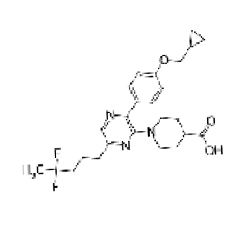 CC(F)(F)CCCc1cnc(-c2ccc(OCC3CC3)cc2)c(N2CCC(C(=O)O)CC2)n1